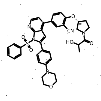 CC(O)C(=O)N1CC[C@@H](Oc2ccc(-c3ccnc4c3cc(-c3ccc(N5CCOCC5)cc3)n4S(=O)(=O)c3ccccc3)cc2C#N)C1